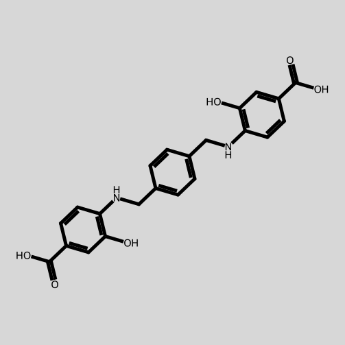 O=C(O)c1ccc(NCc2ccc(CNc3ccc(C(=O)O)cc3O)cc2)c(O)c1